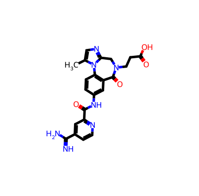 Cc1cnc2n1-c1ccc(NC(=O)c3cc(C(=N)N)ccn3)cc1C(=O)N(CCC(=O)O)C2